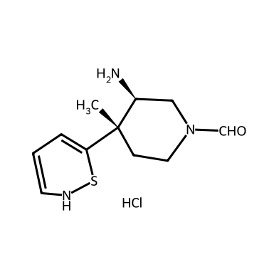 C[C@]1(C2=CC=CNS2)CCN(C=O)C[C@@H]1N.Cl